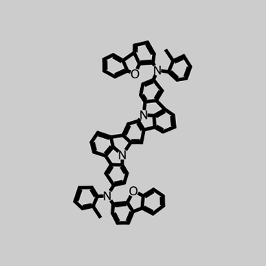 Cc1ccccc1N(c1ccc2c(c1)c1cccc3c4cc5c(cc4n2c13)c1cccc2c3cc(N(c4ccccc4C)c4cccc6c4oc4ccccc46)ccc3n5c21)c1cccc2c1oc1ccccc12